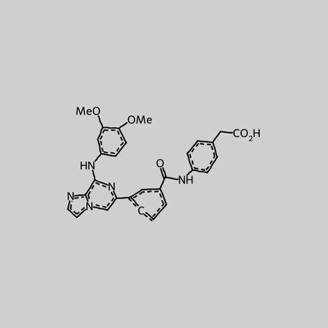 COc1ccc(Nc2nc(-c3cccc(C(=O)Nc4ccc(CC(=O)O)cc4)c3)cn3ccnc23)cc1OC